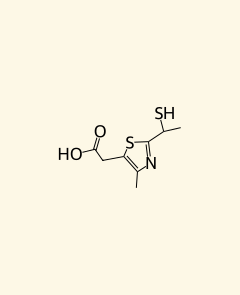 Cc1nc(C(C)S)sc1CC(=O)O